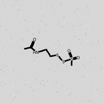 CC(=O)NCCSSS(C)(=O)=O